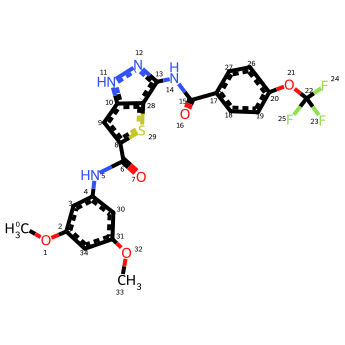 COc1cc(NC(=O)c2cc3[nH]nc(NC(=O)c4ccc(OC(F)(F)F)cc4)c3s2)cc(OC)c1